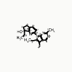 CCc1c(F)c2cnc(C)nc2n1-c1ccc2c(n1)[C@@](O)(CC)CC2